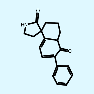 O=C1C(c2ccccc2)=CC=C2C1CCCC21CCNC1=O